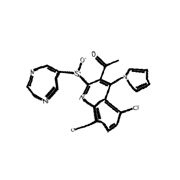 CC(=O)c1c([S+]([O-])c2cncnc2)nc2c(Cl)ccc(Cl)c2c1-n1cccc1